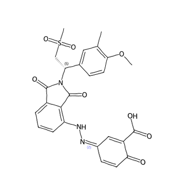 COc1ccc([C@@H](CS(C)(=O)=O)N2C(=O)c3cccc(N/N=C4/C=CC(=O)C(C(=O)O)=C4)c3C2=O)cc1C